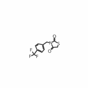 O=C1CSC(=O)N1Cc1ccc(C(F)(F)F)cc1